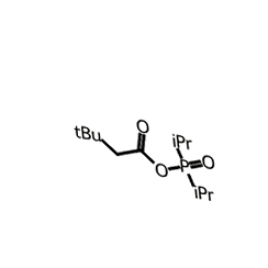 CC(C)P(=O)(OC(=O)CC(C)(C)C)C(C)C